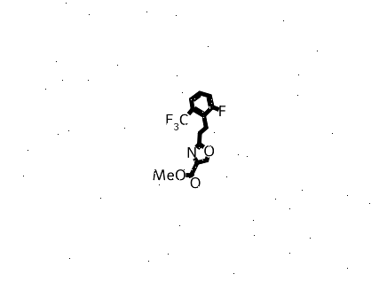 COC(=O)C1COC(CCc2c(F)cccc2C(F)(F)F)=N1